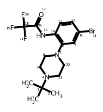 CC(C)(C)N1CCN(c2cc(Br)ccc2NC(=O)C(F)(F)F)CC1